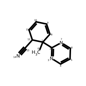 CC1(c2ncccn2)C=CC=CC1C#N